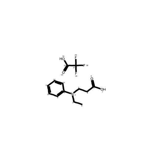 CCN(CCC(=O)O)c1ccccc1.O=C(O)C(F)(F)F